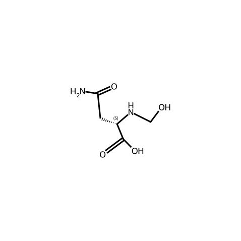 NC(=O)C[C@H](NCO)C(=O)O